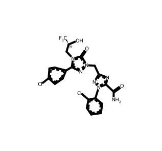 NC(=O)c1nc(Cn2nc(-c3ccc(Cl)cc3)n(C[C@@H](O)C(F)(F)F)c2=O)nn1-c1ccccc1Cl